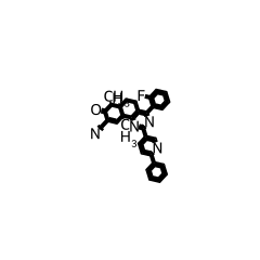 C[C@H]1C(=O)C(C#N)=C[C@@]2(C)c3nc(-c4ccc(-c5ccccc5)nc4)nc(-c4ccccc4F)c3CC[C@H]12